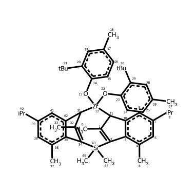 CC1=C2c3c(C)cc(C(C)C)cc3[CH]1[Zr]([O]c1ccc(C)cc1C(C)(C)C)([O]c1ccc(C)cc1C(C)(C)C)[CH]1C(C)=C(c3c(C)cc(C(C)C)cc31)[Si]2(C)C